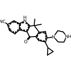 CC1(C)c2cc(N3CCNCC3)c(C3CC3)cc2C(=O)c2c1[nH]c1cc(C#N)ccc21